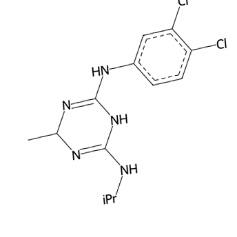 CC1N=C(Nc2ccc(Cl)c(Cl)c2)NC(NC(C)C)=N1